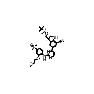 COCCOc1cc(P(C)(C)=O)ccc1Nc1nccc(-c2cc(C#N)c3c(c2)[C@@](C)(CO[Si](C)(C)C(C)(C)C)CN3)n1